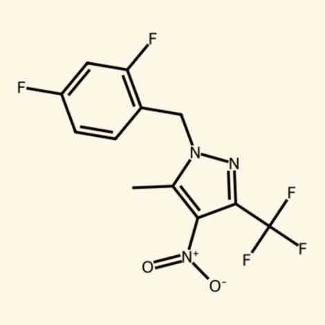 Cc1c([N+](=O)[O-])c(C(F)(F)F)nn1Cc1ccc(F)cc1F